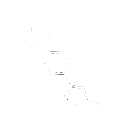 CCS(=O)(=O)c1ccc(-n2cc(Br)cn2)cc1